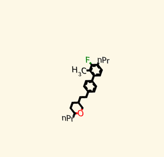 CCCc1ccc(-c2ccc(CCC3CCC(CCC)OC3)cc2)c(C)c1F